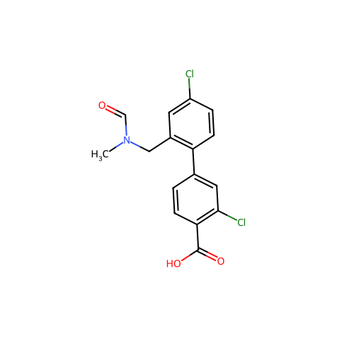 CN(C=O)Cc1cc(Cl)ccc1-c1ccc(C(=O)O)c(Cl)c1